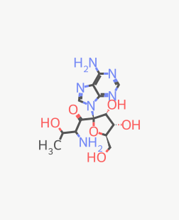 CC(O)C(N)C(=O)[C@@]1(n2cnc3c(N)ncnc32)O[C@H](CO)[C@@H](O)[C@H]1O